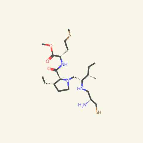 CC[C@H]1CCN(C[C@@H](NC[C@@H](N)CS)[C@@H](C)CC)[C@@H]1C(=O)N[C@@H](CCSC)C(=O)OC